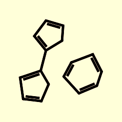 C1=CCC(C2=CC=CC2)=C1.c1ccccc1